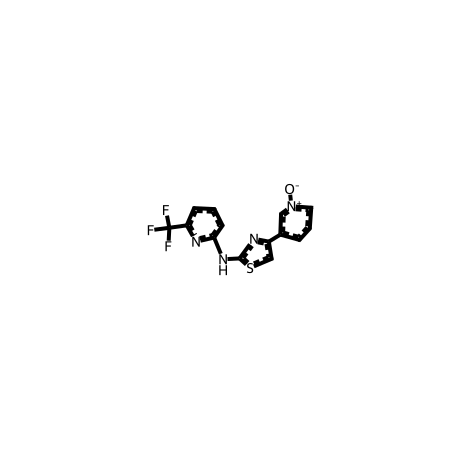 [O-][n+]1cccc(-c2csc(Nc3cccc(C(F)(F)F)n3)n2)c1